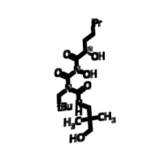 CC(C)CC[C@H](O)C(=O)N(O)C(=O)N(CC(C)(C)C)C(=O)NCC(C)(C)CO